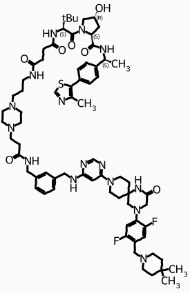 Cc1ncsc1-c1ccc([C@H](C)NC(=O)[C@@H]2C[C@@H](O)CN2C(=O)[C@@H](NC(=O)CCC(=O)NCCCN2CCN(CCC(=O)NCc3cccc(CNc4cc(N5CCC6(CC5)CN(c5cc(F)c(CN7CCC(C)(C)CC7)cc5F)CC(=O)N6)ncn4)c3)CC2)C(C)(C)C)cc1